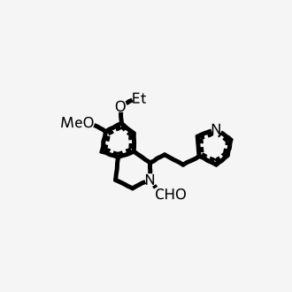 CCOc1cc2c(cc1OC)CCN(C=O)C2CCc1cccnc1